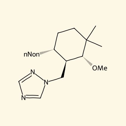 CCCCCCCCC[C@@H]1CCC(C)(C)[C@H](OC)[C@H]1Cn1cncn1